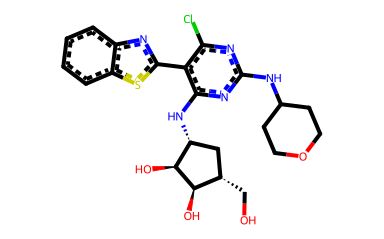 OC[C@H]1C[C@@H](Nc2nc(NC3CCOCC3)nc(Cl)c2-c2nc3ccccc3s2)[C@H](O)[C@@H]1O